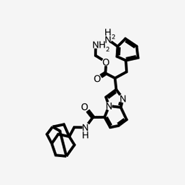 NCOC(=O)C(Cc1cccc(N)c1)c1cn2c(C(=O)NCC34CC5CC(CC(C5)C3)C4)cccc2n1